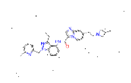 CCc1nn(Cc2cccc(C)n2)c2cccc(NC(=O)c3cnc4cc(CCN5CC(C)C5)ccn34)c12